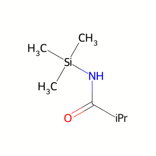 CC(C)C(=O)N[Si](C)(C)C